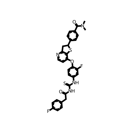 CN(C)C(=O)c1ccc(C2Cc3nccc(Oc4ccc(NC(=S)NC(=O)Cc5ccc(F)cc5)cc4F)c3S2)cc1